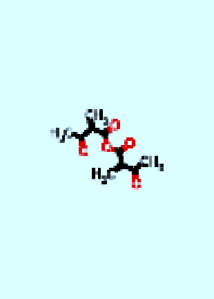 C=C(C(C)=O)C(=O)OC(=O)C(=C)C(C)=O